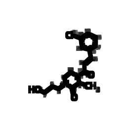 CC1C(=O)N(CCCO)CCN1C(=O)C=Cc1cccc(Cl)c1